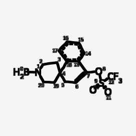 BN1CCC2(CC=C(OS(=O)(=O)C(F)(F)F)c3ccccc32)CC1